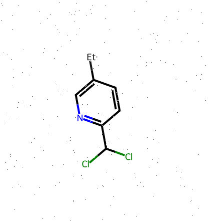 C[CH]c1ccc(C(Cl)Cl)nc1